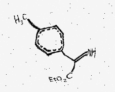 CCOC(=O)C(=N)c1ccc(C)cc1